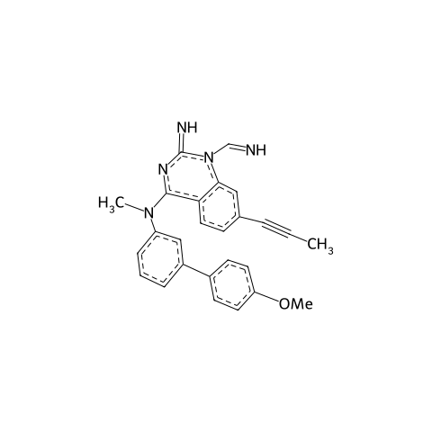 CC#Cc1ccc2c(N(C)c3cccc(-c4ccc(OC)cc4)c3)nc(=N)n(C=N)c2c1